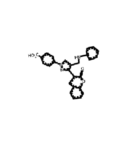 O=C(O)c1ccc(-n2cc(CNc3ccccc3)c(-c3cc4ccccc4oc3=O)n2)cc1